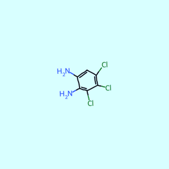 Nc1cc(Cl)c(Cl)c(Cl)c1N